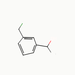 CCCC(O)c1cccc(CF)c1